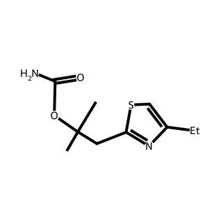 CCc1csc(CC(C)(C)OC(N)=O)n1